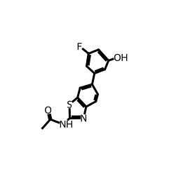 CC(=O)Nc1nc2ccc(-c3cc(O)cc(F)c3)cc2s1